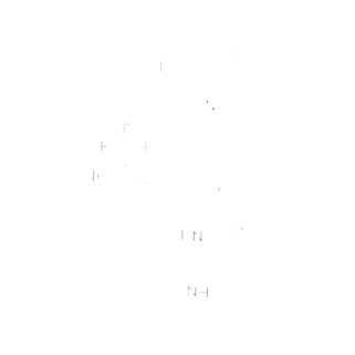 NCCNC(=O)COc1ccc(N(CCCl)CCCl)cc1.O=C(O)C(F)(F)F